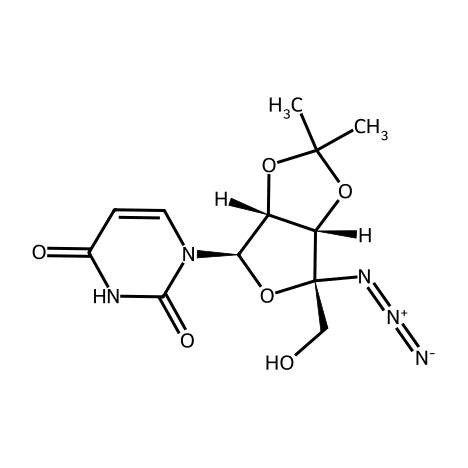 CC1(C)O[C@H]2[C@H](n3ccc(=O)[nH]c3=O)O[C@@](CO)(N=[N+]=[N-])[C@H]2O1